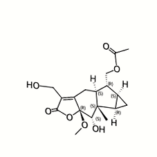 CO[C@@]12OC(=O)C(CO)=C1C[C@H]1[C@H](COC(C)=O)[C@H]3C[C@H]3[C@]1(C)[C@@H]2O